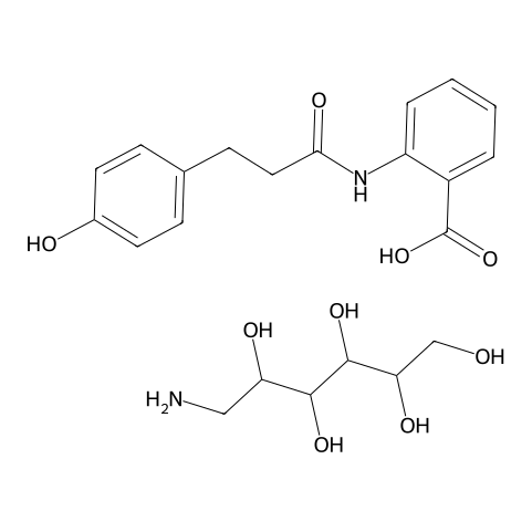 NCC(O)C(O)C(O)C(O)CO.O=C(CCc1ccc(O)cc1)Nc1ccccc1C(=O)O